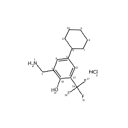 Cl.NCc1cc(C2CCCCC2)cc(C(F)(F)F)c1O